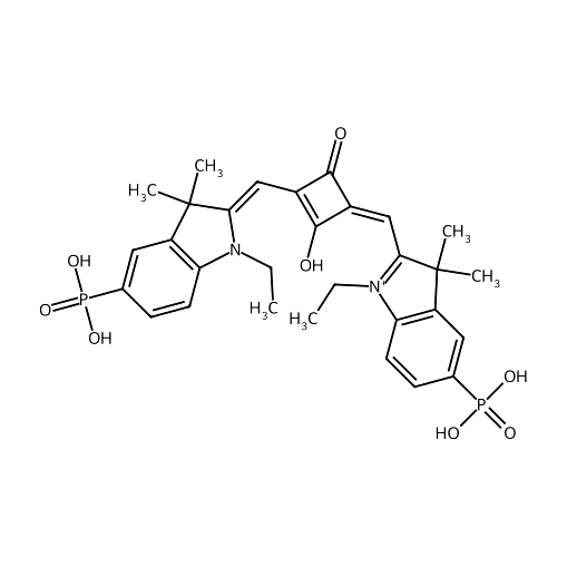 CCN1C(=CC2=C(O)C(=CC3=[N+](CC)c4ccc(P(=O)(O)O)cc4C3(C)C)C2=O)C(C)(C)c2cc(P(=O)(O)O)ccc21